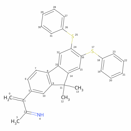 C=C(C(C)=N)c1ccc2c(c1)C(C)(C)c1cc(Sc3ccccc3)c(Sc3ccccc3)cc1-2